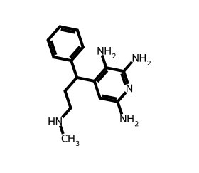 CNCCC(c1ccccc1)c1cc(N)nc(N)c1N